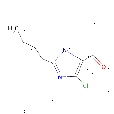 CCCCC1=NC(Cl)=C(C=O)[N]1